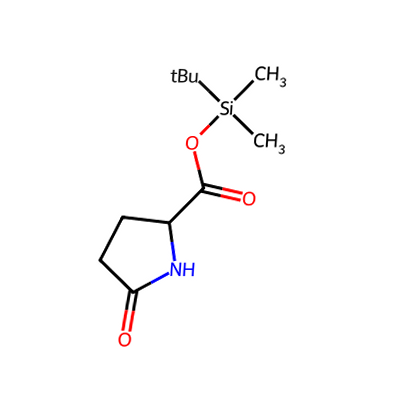 CC(C)(C)[Si](C)(C)OC(=O)C1CCC(=O)N1